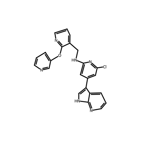 Clc1cc(-c2c[nH]c3ncccc23)cc(NCc2cccnc2Oc2cccnc2)n1